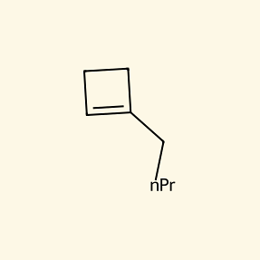 CCCCC1=CCC1